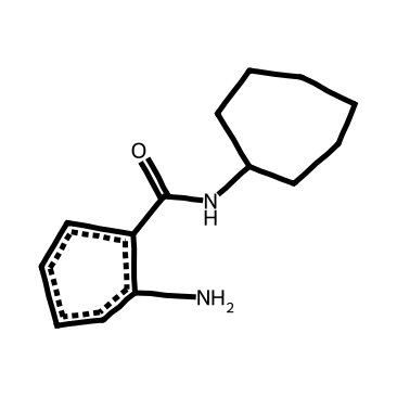 Nc1ccccc1C(=O)NC1CCCCCC1